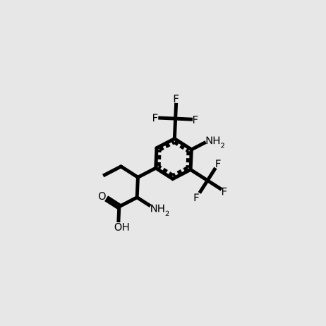 CCC(c1cc(C(F)(F)F)c(N)c(C(F)(F)F)c1)C(N)C(=O)O